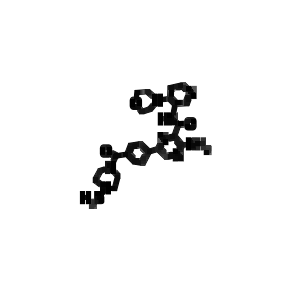 BN1CCN(C(=O)c2ccc(-c3cnc(N)c(C(=O)Nc4cnccc4N4CCOCC4)n3)cc2)CC1